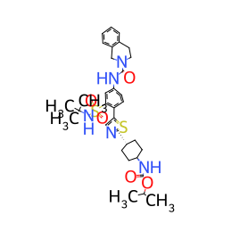 CC(C)OC(=O)N[C@H]1CC[C@H](c2ncc(-c3ccc(NC(=O)N4CCc5ccccc5C4)cc3S(=O)(=O)NC(C)(C)C)s2)CC1